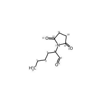 CCCCC([C]=O)N1C(=O)CCC1=O